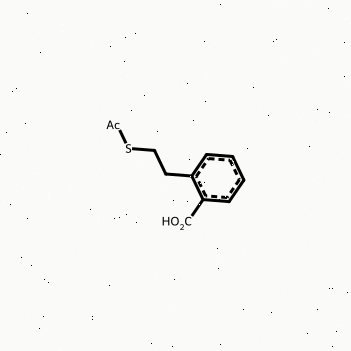 CC(=O)SCCc1ccccc1C(=O)O